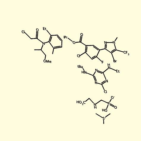 CC(C)OC(=O)c1cc(-c2nn(C)c(C(F)(F)F)c2Br)c(F)cc1Cl.CCNc1nc(Cl)nc(NC(C)(C)C)n1.CCc1cccc(C)c1N(C(=O)CCl)C(C)COC.C[S+](C)C.O=C(O)CNCP(=O)([O-])O